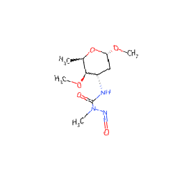 CO[C@@H]1C[C@H](NC(=O)N(C)N=O)[C@@H](OC)[C@@H](C)O1